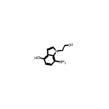 Nc1ccc(O)c2ccn(CCO)c12